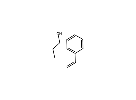 C=Cc1ccccc1.[CH2]CCO